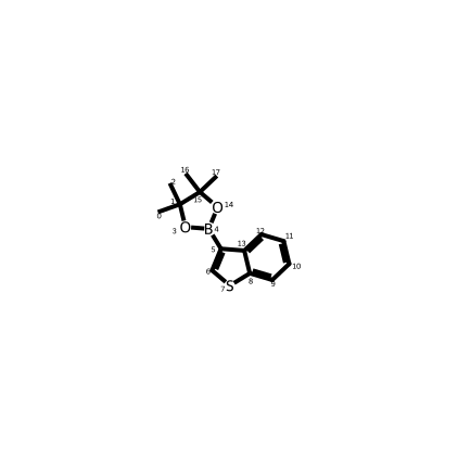 CC1(C)OB(c2csc3ccccc23)OC1(C)C